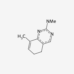 CNc1ncc2c(n1)C(C)=CCC2